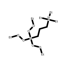 CCOO[Si](CCC[PH](CC)(CC)CC)(OOCC)OOCC